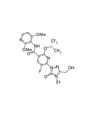 CCn1c(CO)nn(-c2nc(O[C@@H](C)C(F)(F)F)c(C(=O)Nc3c(OC)ccnc3OC)cc2F)c1=O